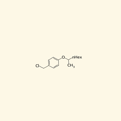 CCCCCCC(C)Oc1ccc(CCl)cc1